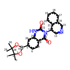 CC1(C)OB(c2ccc3c(=O)n(-c4cncc5ccccc45)c(=O)[nH]c3c2)OC1(C)C